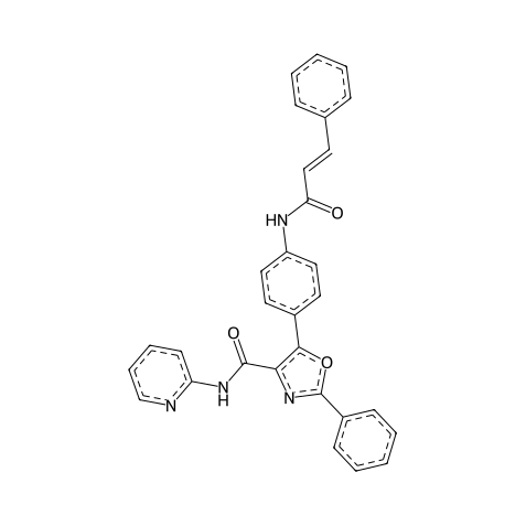 O=C(C=Cc1ccccc1)Nc1ccc(-c2oc(-c3ccccc3)nc2C(=O)Nc2ccccn2)cc1